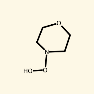 OON1CCOCC1